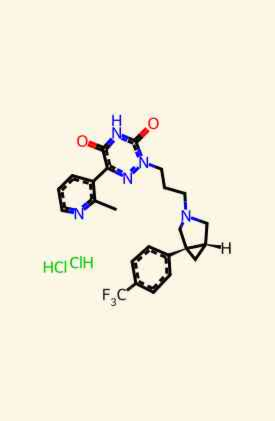 Cc1ncccc1-c1nn(CCCN2C[C@@H]3C[C@]3(c3ccc(C(F)(F)F)cc3)C2)c(=O)[nH]c1=O.Cl.Cl